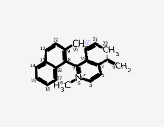 C=Cc1cc[n+](C)c(-c2c(C)ccc3ccccc23)c1/C=C\C